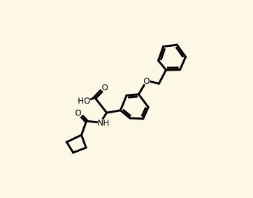 O=C(NC(C(=O)O)c1cccc(OCc2ccccc2)c1)C1CCC1